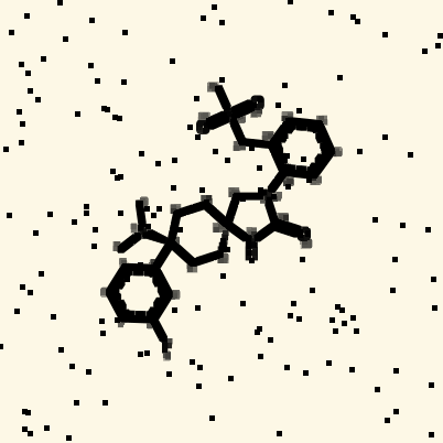 CN(C)[C@]1(c2cccc(F)c2)CC[C@]2(CC1)CN(c1ccccc1CS(C)(=O)=O)C(=O)N2